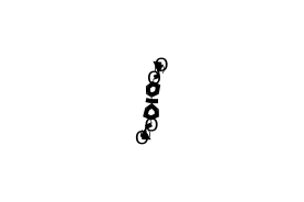 CC(C)([C@H]1CC[C@@H](OC[C@H]2CO2)CC1)[C@H]1CC[C@@H](OC[C@@H]2CO2)CC1